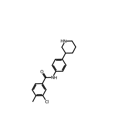 Cc1ccc(C(=O)Nc2ccc(C3CCCNC3)cc2)cc1Cl